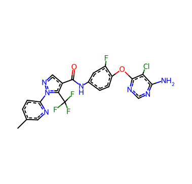 Cc1ccc(-n2ncc(C(=O)Nc3ccc(Oc4ncnc(N)c4Cl)c(F)c3)c2C(F)(F)F)nc1